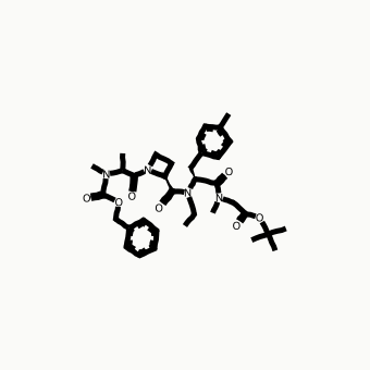 CCN(C(=O)[C@@H]1CCN1C(=O)C(C)N(C)C(=O)OCc1ccccc1)[C@@H](Cc1ccc(C)cc1)C(=O)N(C)CC(=O)OC(C)(C)C